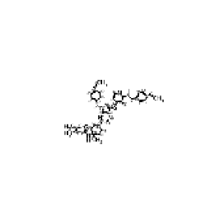 COc1ccc(CNc2nccc(Sc3nn(Cc4ccc(OC)cc4)c4nc(N5CCC(C)(NC(=O)OC(C)(C)C)CC5)cnc34)c2F)cc1